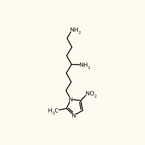 Cc1ncc([N+](=O)[O-])n1CCCC(N)CCCN